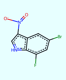 O=[N+]([O-])c1c[nH]c2c(F)cc(Br)cc12